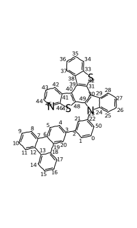 c1cc(-c2ccc3c4ccccc4c4ccccc4c3c2)cc(-n2c3ccccc3c3c4sc5ccccc5c4c4c5cccnc5sc4c32)c1